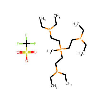 CCP(CC)CC[P+](C)(CCP(CC)CC)CCP(CC)CC.O=S(=O)([O-])C(F)(F)F